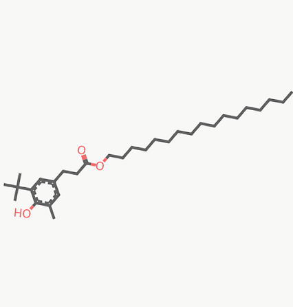 CCCCCCCCCCCCCCCCCOC(=O)CCc1cc(C)c(O)c(C(C)(C)C)c1